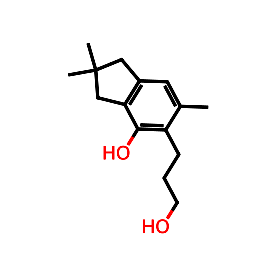 Cc1cc2c(c(O)c1CCCO)CC(C)(C)C2